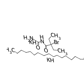 CCC(Br)(CC)C(=O)NC(N)=O.CCCCCCCCCCCCCCCCC.[KH].[KH]